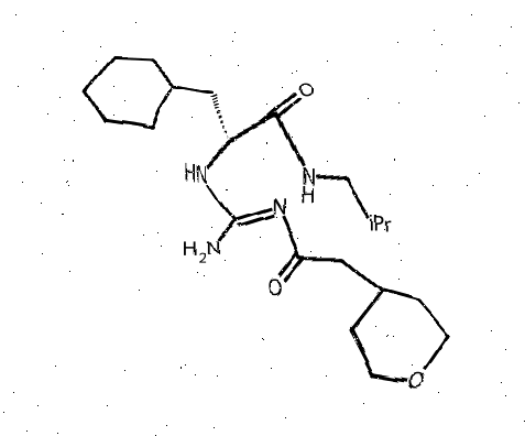 CC(C)CNC(=O)[C@@H](CC1CCCCC1)NC(N)=NC(=O)CC1CCOCC1